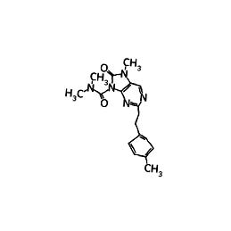 Cc1ccc(CCc2ncc3c(n2)n(C(=O)N(C)C)c(=O)n3C)cc1